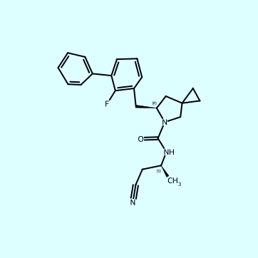 C[C@@H](CC#N)NC(=O)N1CC2(CC2)C[C@@H]1Cc1cccc(-c2ccccc2)c1F